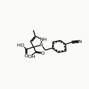 CC1=CC(C(=O)O)(C(=O)O)N(Cc2ccc(C#N)cc2)N1